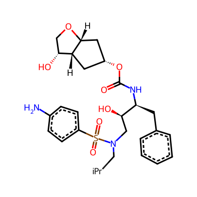 CC(C)CN(C[C@@H](O)[C@H](Cc1ccccc1)NC(=O)O[C@@H]1C[C@@H]2[C@H](O)CO[C@@H]2C1)S(=O)(=O)c1ccc(N)cc1